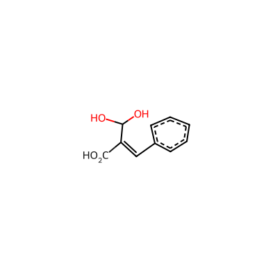 O=C(O)C(=Cc1ccccc1)C(O)O